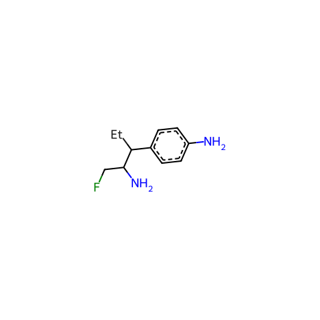 CCC(c1ccc(N)cc1)C(N)CF